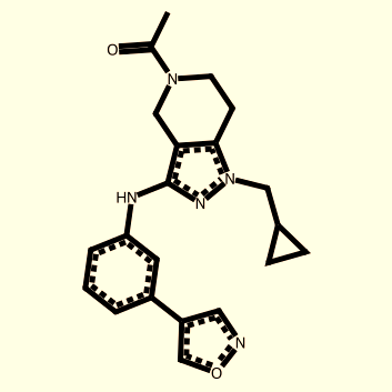 CC(=O)N1CCc2c(c(Nc3cccc(-c4cnoc4)c3)nn2CC2CC2)C1